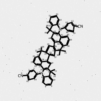 [C-]#[N+]c1ccc(N2c3ccccc3C(C)(C)c3cc4c5c(cccc5c32)C(C)(C)c2cc3c(cc2-4)C(C)(C)c2cccc4c5c(cc-3c24)C(C)(C)c2ccccc2N5c2ccc(C#N)cc2)cc1